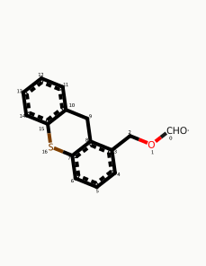 O=[C]OCc1cccc2c1Cc1ccccc1S2